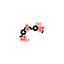 CCS(=O)(=O)Oc1ccc(/C=C/S(=O)(=O)Cc2ccc(C(C)S(=O)(=O)O)cc2)cc1O